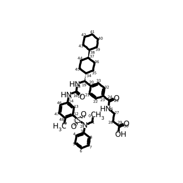 CCN(c1ccccc1)S(=O)(=O)c1cc(NC(=O)NC(c2ccc(C(=O)NCCC(=O)O)cc2)[C@H]2CC[C@H](C3CCCCC3)CC2)ccc1C